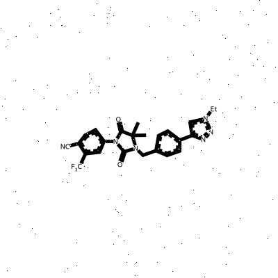 CCn1cc(-c2ccc(CN3C(=O)N(c4ccc(C#N)c(C(F)(F)F)c4)C(=O)C3(C)C)cc2)nn1